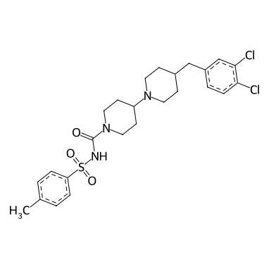 Cc1ccc(S(=O)(=O)NC(=O)N2CCC(N3CCC(Cc4ccc(Cl)c(Cl)c4)CC3)CC2)cc1